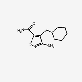 NC(=O)c1snc(N)c1CC1CCCCC1